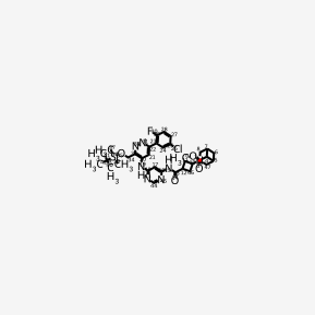 COC(=O)C1C2CC1CN(C1CC(C(=O)Nc3cc(Nc4cc(-c5cc(Cl)ccc5F)nnc4CO[Si](C)(C)C(C)(C)C)ncn3)C1)C2